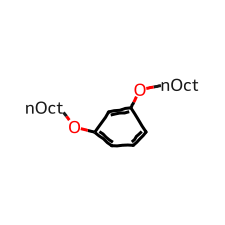 CCCCCCCCOc1cccc(OCCCCCCCC)c1